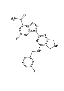 NC(=O)c1cc(F)cc2c1cnn2-c1nc2c(c(NCc3cccc(F)c3)n1)CNC2